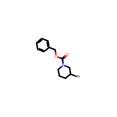 CC(C)C1CCCN(C(=O)OCc2ccccc2)C1